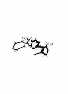 CCOC(=O)c1cccc(C)c1-c1ccc2nc(N)c(N3CCOCC3)cc2c1